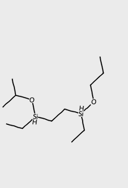 CCCO[SiH](CC)CC[SiH](CC)OC(C)C